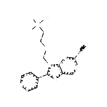 C[Si](C)(C)CCOCn1c(-c2ccncc2)nc2cnc(C#N)nc21